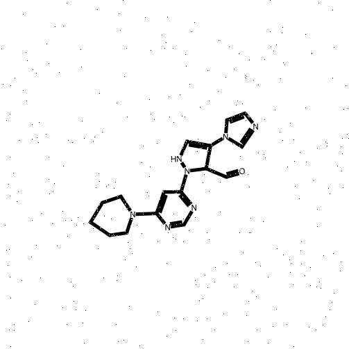 O=CC1C(n2ccnc2)=CNN1c1cc(N2CCCCC2)ncn1